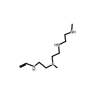 C=CNCCN(C)CCNCCNC